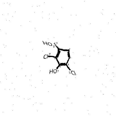 O=S(=O)(O)c1ccc(Cl)c(O)c1Cl